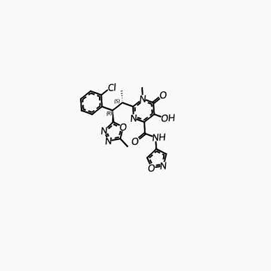 Cc1nnc([C@@H](c2ccccc2Cl)[C@H](C)c2nc(C(=O)Nc3cnoc3)c(O)c(=O)n2C)o1